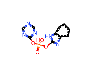 O=P(O)(Oc1ncncn1)Oc1nc2ccccc2[nH]1